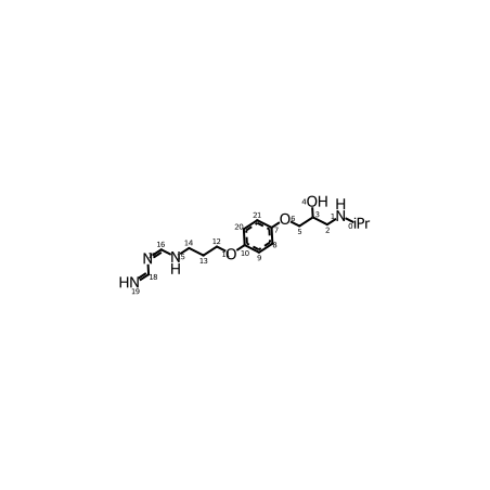 CC(C)NCC(O)COc1ccc(OCCCN/C=N\C=N)cc1